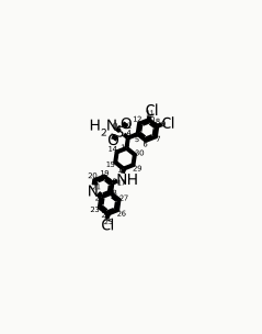 NS(=O)(=O)C(c1ccc(Cl)c(Cl)c1)C1CCC(Nc2ccnc3cc(Cl)ccc23)CC1